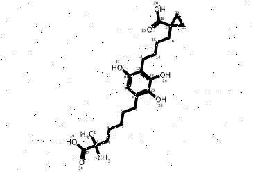 CC(C)(CCCCCc1cc(O)c(CCCCC2(C(=O)O)CC2)c(O)c1O)C(=O)O